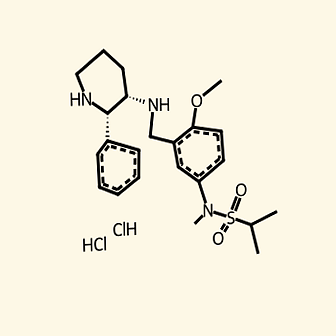 COc1ccc(N(C)S(=O)(=O)C(C)C)cc1CN[C@H]1CCCN[C@H]1c1ccccc1.Cl.Cl